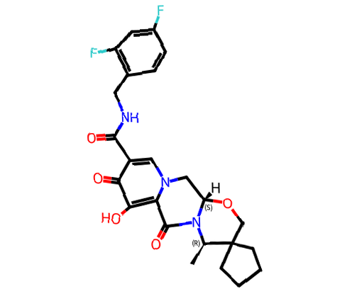 C[C@H]1N2C(=O)c3c(O)c(=O)c(C(=O)NCc4ccc(F)cc4F)cn3C[C@@H]2OCC12CCCC2